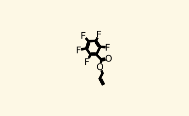 C=CCOC(=O)c1c(F)c(F)c(F)c(F)c1F